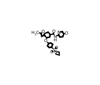 Cc1cc2c(Oc3ccc(S(=O)(=O)N4CCC4)cc3)cc(C(=O)Nc3ccc(Cl)cn3)cc2o1